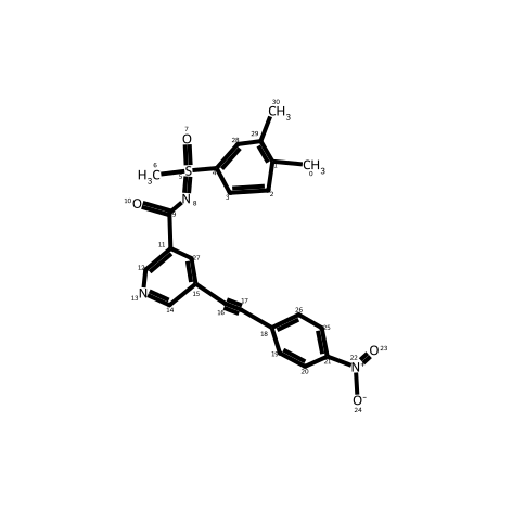 Cc1ccc(S(C)(=O)=NC(=O)c2cncc(C#Cc3ccc([N+](=O)[O-])cc3)c2)cc1C